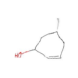 C[C@@H]1CC=CC(O)C1